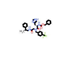 CC(CNC(=O)CN(Cc1ccc(C(F)(F)F)cc1)C(=O)[C@H](Cc1c[nH]cn1)NC(=O)OCc1ccccc1)c1ccccc1